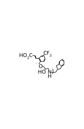 C[C@@H](OC[C@H](O)CNC(C)(C)CC1Cc2ccccc2C1)c1ccc(C(F)(F)F)cc1/C=C/C(=O)O